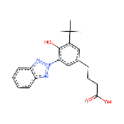 CC(C)(C)c1cc(CCCC(=O)O)cc(-n2nc3ccccc3n2)c1O